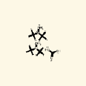 CC(C)(C)N(N)C(C)(C)C.CC(C)(C)N(N)C(C)(C)C.O=C(O)O